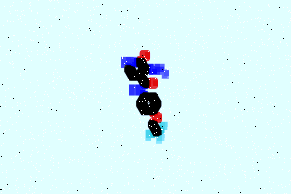 Nc1c(C(=O)Nc2ccc(OCC(F)(F)F)cc2)cc[nH]c1=O